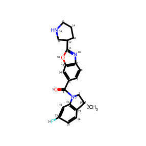 C[C@H]1CN(C(=O)c2ccc3nc(C4CCCNC4)oc3c2)c2cc(F)ccc21